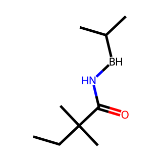 CCC(C)(C)C(=O)NBC(C)C